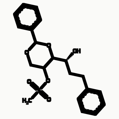 CS(=O)(=O)OC1COC(c2ccccc2)OC1[C@H](O)CCc1ccccc1